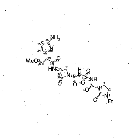 CCN1CCN(C(=O)NS(=O)(=O)NC(=O)N2C[C@H](NC(=O)C(=NOC)c3csc(N)n3)C2=O)C1=O